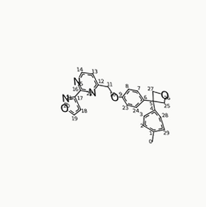 Cc1ccc(C2(c3ccc(OCc4ccnc(-c5ccon5)n4)cc3)COC2)cc1